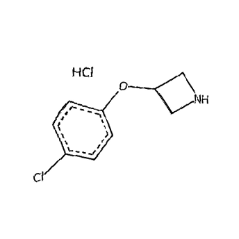 Cl.Clc1ccc(OC2CNC2)cc1